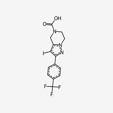 O=C(O)N1CCn2nc(-c3ccc(C(F)(F)F)cc3)c(I)c2C1